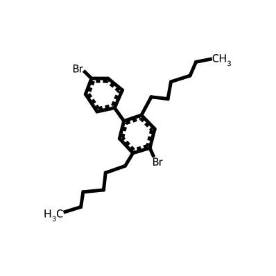 CCCCCCc1cc(-c2ccc(Br)cc2)c(CCCCCC)cc1Br